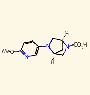 COc1ccc(N2C[C@@H]3C[C@H]2CN3C(=O)O)cn1